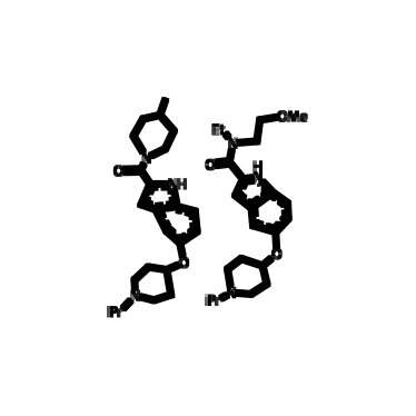 CC1CCN(C(=O)c2cc3cc(OC4CCN(C(C)C)CC4)ccc3[nH]2)CC1.CCN(CCOC)C(=O)c1cc2cc(OC3CCN(C(C)C)CC3)ccc2[nH]1